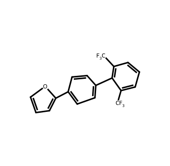 FC(F)(F)c1cccc(C(F)(F)F)c1-c1ccc(-c2ccco2)cc1